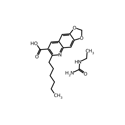 CCCCCCc1nc2cc3c(cc2cc1C(=O)O)OCO3.CCNC(N)=O